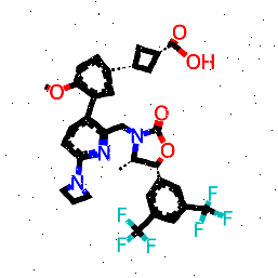 COc1ccc([C@H]2C[C@@H](C(=O)O)C2)cc1-c1ccc(N2CCC2)nc1CN1C(=O)O[C@H](c2cc(C(F)(F)F)cc(C(F)(F)F)c2)[C@@H]1C